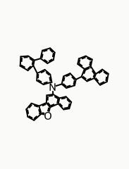 c1ccc(-c2ccccc2-c2ccc(N(c3ccc(-c4cc5ccccc5c5ccccc45)cc3)c3cc4c5ccccc5oc4c4ccccc34)cc2)cc1